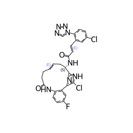 O=C(/C=C/c1cc(Cl)ccc1-n1cnnn1)N[C@H]1C/C=C/CCC(=O)Nc2ccc(F)cc2-c2nc1[nH]c2Cl